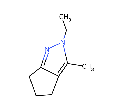 CCn1nc2c(c1C)CCC2